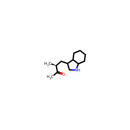 CC(=O)[C@@H](C)CC1CNC2CCCCC12